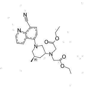 CCOC(=O)CN(CC(=O)OCC)C1C[C@@H](C)CN(c2ccc(C#N)c3ncccc23)C1